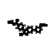 CCn1nc2cc(-c3cccc(OC)c3)ccc2c1N1CCN(C(=O)OC(C)(C)C)CC1